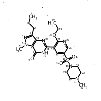 CCCc1nn(C)c2c(=O)[nH]c(-c3cc(S(=O)(=O)N4CCN(C)CC4)cnc3OCC)nc12